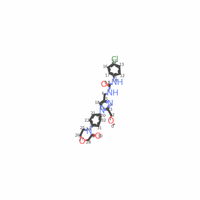 COCc1nc(CNC(=O)Nc2ccc(Cl)cc2)cn1-c1ccc(N2CCOCC2=O)cc1